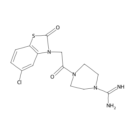 N=C(N)N1CCN(C(=O)Cn2c(=O)sc3ccc(Cl)cc32)CC1